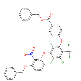 O=C(OCc1ccccc1)c1ccc(Oc2c(F)c(Oc3cccc(OCc4ccccc4)c3[N+](=O)[O-])c(F)c(F)c2C(F)(F)F)cc1